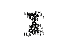 CCc1nc2c([nH]1)-c1cc(C)c(C)cc1N(C(=O)c1ccc(NC(=O)c3ccc(C)c(C)c3-c3cccc(C)c3C)c(C)c1)CC2